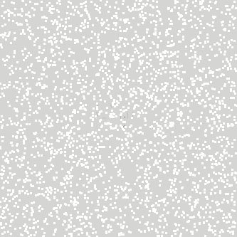 CC(C)(C)OCCC(=O)Nc1ccc(Cl)c(C(F)(F)F)c1